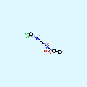 O=C(CCCNC(=O)NCc1ccc(Cl)c(Cl)c1)NCC(=O)NCC(C(=O)O)c1ccc(-c2ccccc2)cc1